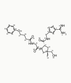 N=C(N)c1csc(CNC(=O)[C@@H]2C[C@](F)(CO)CN2C(=O)CNC(=O)CCCOc2ccccc2)c1